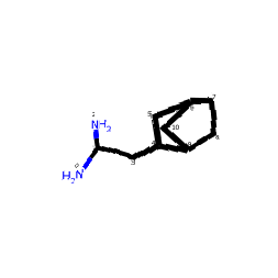 NC(N)CC1CC2CCC1C2